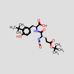 CC(C)(C)OC(=O)CC[C@H](N=C=O)C(=O)N[C@@H](Cc1ccc(O)c(C(C)(C)C)c1)C(=O)O